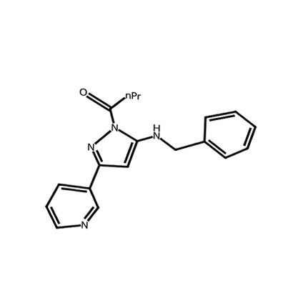 CCCC(=O)n1nc(-c2cccnc2)cc1NCc1ccccc1